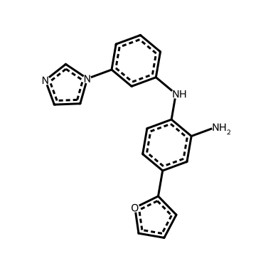 Nc1cc(-c2ccco2)ccc1Nc1cccc(-n2ccnc2)c1